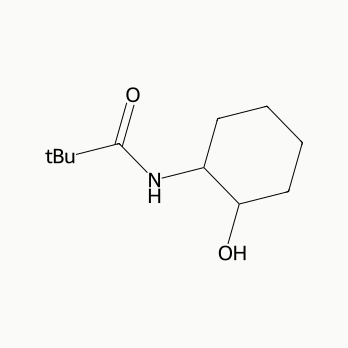 CC(C)(C)C(=O)NC1CCCCC1O